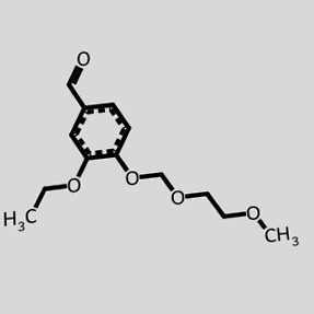 CCOc1cc(C=O)ccc1OCOCCOC